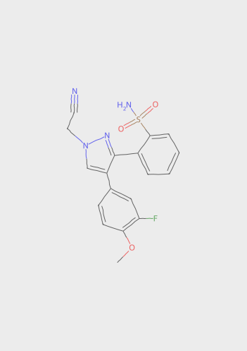 COc1ccc(-c2cn(CC#N)nc2-c2ccccc2S(N)(=O)=O)cc1F